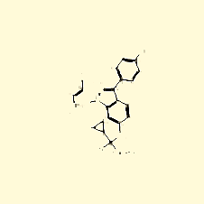 CCCCCCC(N)(Oc1ccc2c(-c3ccc(Br)cc3)nn(C)c2c1)C1CC1.O=C(O)/C=C/C(=O)O